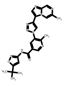 Cc1cn2c(-c3cn(-c4cc(C(=O)Nc5cc(C(C)(C)C)on5)cnc4C)nn3)cnc2cn1